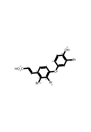 CC(C)c1cc(Oc2ccc(C=CC(=O)O)c(Br)c2Br)ccc1O